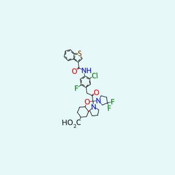 O=C(Nc1cc(F)c(CC(=O)C(OC2CCC(C(=O)O)CC2)(N2CCCC2)N2CCC(F)(F)C2)cc1Cl)c1csc2ccccc12